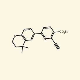 C#Cc1nc(-c2ccc3c(c2)C(C)(C)CCS3)ccc1C(=O)OCC